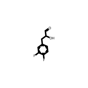 O=CC(O)Cc1ccc(F)c(F)c1